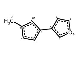 Cc1ccc(-c2ccoc2)s1